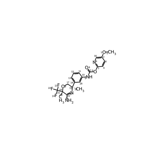 COc1ccc(OC(=O)Nc2cccc([C@]3(C)CO[C@@](C)(C(F)(F)F)C(N)=N3)c2)nc1